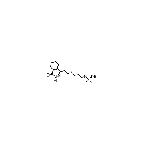 CC(C)(C)[Si](C)(C)OCCCSCCc1n[nH]c(=O)c2c1CCCC2